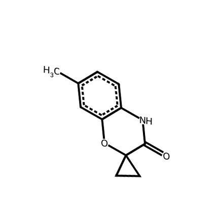 Cc1ccc2c(c1)OC1(CC1)C(=O)N2